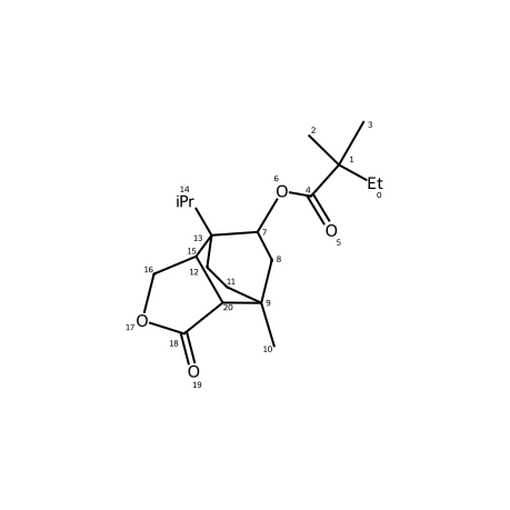 CCC(C)(C)C(=O)OC1CC2(C)CCC1(C(C)C)C1COC(=O)C12